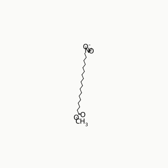 COC(=O)CCCCCCCCCCCCCCCCC[N+](=O)[O-]